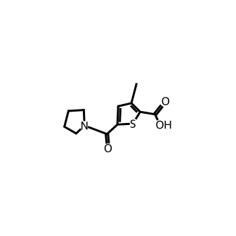 Cc1cc(C(=O)N2CCCC2)sc1C(=O)O